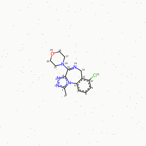 Cc1nnc2n1-c1cccc(Cl)c1CN=C2N1CCOCC1